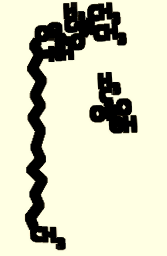 CCCCCCCCCCCCCCC(CO)NC(=O)OC(C)(C)C.CS(=O)(=O)O